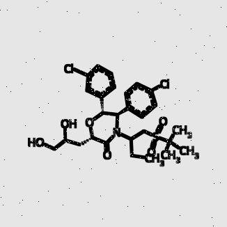 CCC(CS(=O)(=O)C(C)(C)C)N1C(=O)[C@H](CC(O)CO)O[C@H](c2cccc(Cl)c2)[C@H]1c1ccc(Cl)cc1